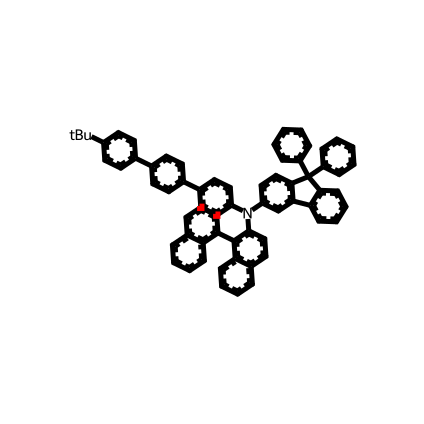 CC(C)(C)c1ccc(-c2ccc(-c3ccc(N(c4ccc5c(c4)-c4ccccc4C5(c4ccccc4)c4ccccc4)c4ccc5ccccc5c4-c4cccc5ccccc45)cc3)cc2)cc1